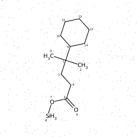 CC(C)(CCC(=O)O[SiH3])C1CCCCC1